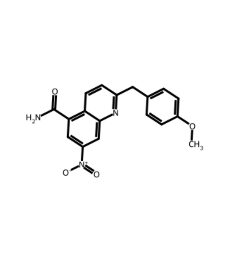 COc1ccc(Cc2ccc3c(C(N)=O)cc([N+](=O)[O-])cc3n2)cc1